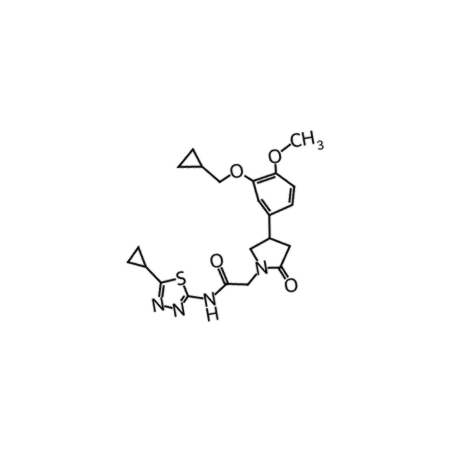 COc1ccc(C2CC(=O)N(CC(=O)Nc3nnc(C4CC4)s3)C2)cc1OCC1CC1